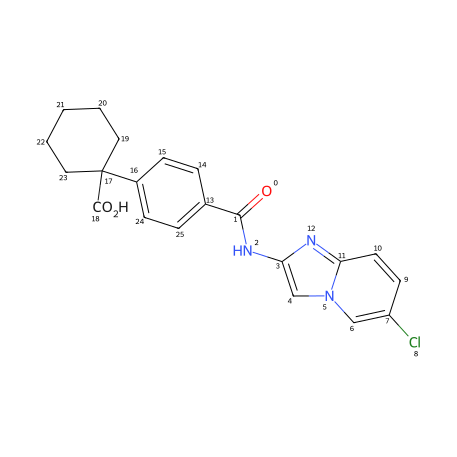 O=C(Nc1cn2cc(Cl)ccc2n1)c1ccc(C2(C(=O)O)CCCCC2)cc1